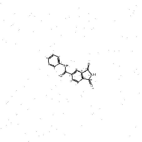 O=C(Nc1ccccc1)c1ccc2c(c1)C(=O)NC2=O